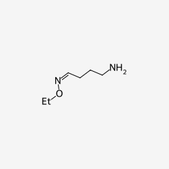 CCO/N=C\CCCN